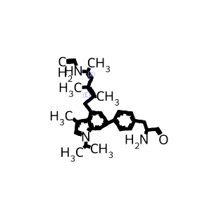 C=CN/C(C)=C\C(C)=C(/C)Cc1cc(-c2ccc(CC(N)C=O)cc2)cc2c1c(C)cn2C(C)C